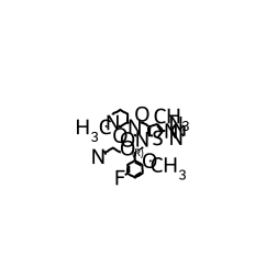 COc1ccc(F)cc1[C@H](Cn1c(=O)n(C2CCCN(C)C2=O)c(=O)c2c(C)c(-n3nccn3)sc21)OCCC#N